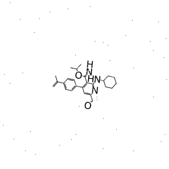 C=C(C)c1ccc(-c2cc(C=O)nc(NC3CCCCC3)c2C(=N)OC(C)C)cc1